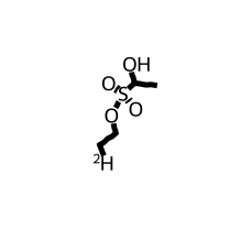 [2H]CCOS(=O)(=O)C(C)O